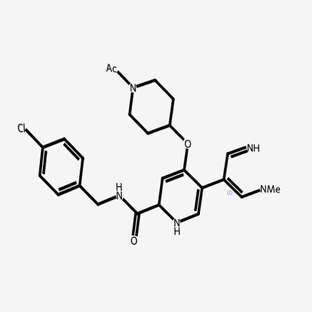 CN/C=C(\C=N)C1=CNC(C(=O)NCc2ccc(Cl)cc2)C=C1OC1CCN(C(C)=O)CC1